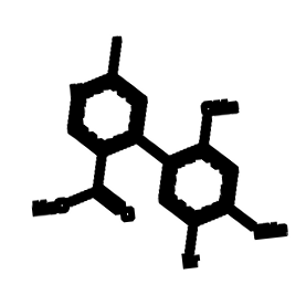 COC(=O)c1cnc(C)cc1-c1cc(Br)c(SC)cc1OC